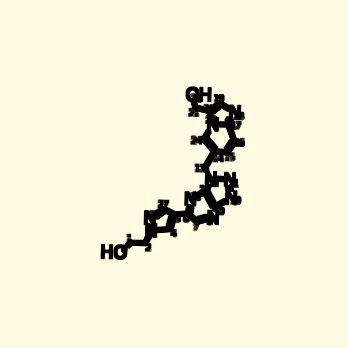 OCCn1cc(-c2cnc3nnn(Cc4ccc5ncc(CO)n5c4)c3n2)cn1